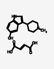 CN1CCC(c2c[nH]c3ccc(O)cc23)CC1.O=C(O)C=CC(=O)O